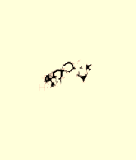 CC(C)(C)OC(=O)N(CC1CC1)[C@@H]1CCCN(c2ccc(C3(C(=O)O)COC3)nc2)C1